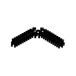 FC(OC(F)=C(F)C(F)(F)C(F)(F)C(F)(F)C(F)(F)C(F)(F)C(F)(F)C(F)(F)C(F)(F)C(F)(F)C(F)(F)F)=C(F)C(F)(F)C(F)(F)C(F)(F)C(F)(F)C(F)(F)C(F)(F)C(F)(F)C(F)(F)C(F)(F)C(F)(F)F